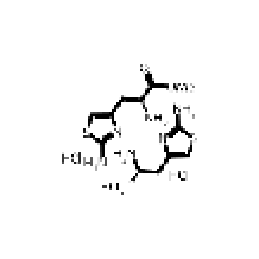 COC(=O)[C@@H](N)Cc1csc(N)n1.Cl.Cl.Nc1nc(C[C@H](N)C(=O)O)cs1